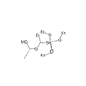 CCO[Si](OCC)(OCC)C(CC)OC(C)O